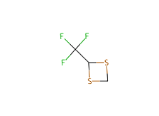 FC(F)(F)C1SCS1